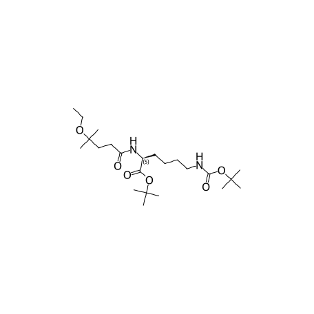 CCOC(C)(C)CCC(=O)N[C@@H](CCCCNC(=O)OC(C)(C)C)C(=O)OC(C)(C)C